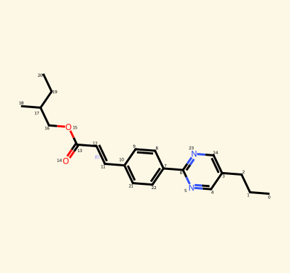 CCCc1cnc(-c2ccc(/C=C/C(=O)OCC(C)CC)cc2)nc1